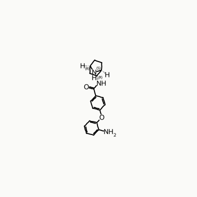 Nc1ccccc1Oc1ccc(C(=O)N[C@@H]2C[C@H]3CC[C@@H]2N3)cc1